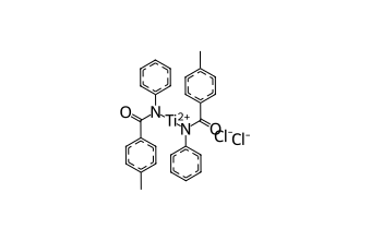 Cc1ccc(C(=O)[N]([Ti+2][N](C(=O)c2ccc(C)cc2)c2ccccc2)c2ccccc2)cc1.[Cl-].[Cl-]